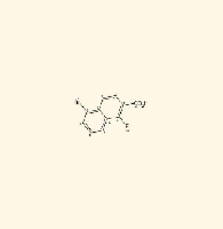 O=C(O)c1ccc2c(Br)cccc2c1F